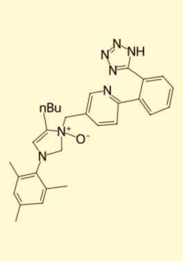 CCCCC1=CN(c2c(C)cc(C)cc2C)C[N+]1([O-])Cc1ccc(-c2ccccc2-c2nnn[nH]2)nc1